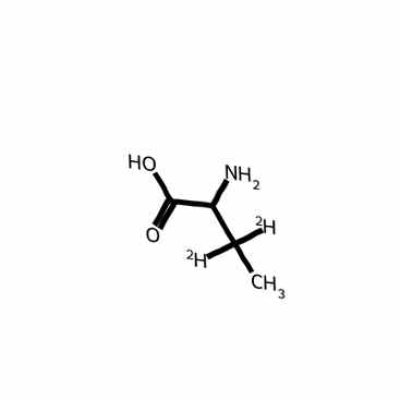 [2H]C([2H])(C)C(N)C(=O)O